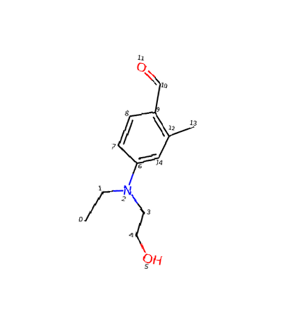 CCN(CCO)c1ccc(C=O)c(C)c1